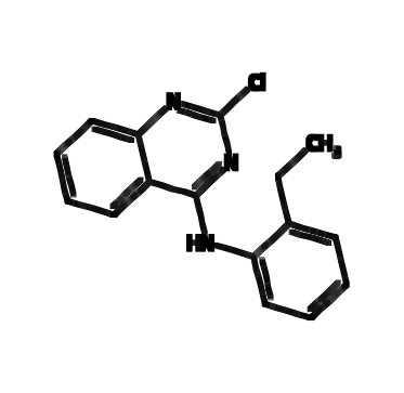 CCc1ccccc1Nc1nc(Cl)nc2ccccc12